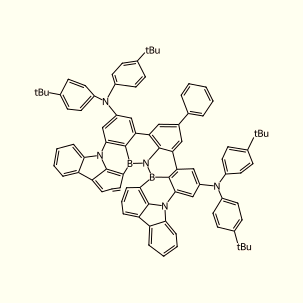 CC(C)(C)c1ccc(N(c2ccc(C(C)(C)C)cc2)c2cc3c4c(c2)-n2c5ccccc5c5cccc(c52)B4N2B4c5c(cc(N(c6ccc(C(C)(C)C)cc6)c6ccc(C(C)(C)C)cc6)cc5-n5c6ccccc6c6cccc4c65)-c4cc(-c5ccccc5)cc-3c42)cc1